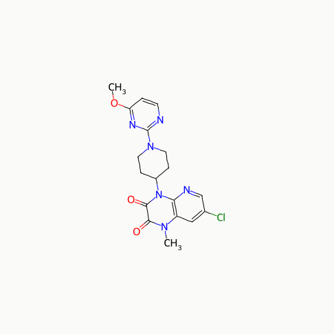 COc1ccnc(N2CCC(n3c(=O)c(=O)n(C)c4cc(Cl)cnc43)CC2)n1